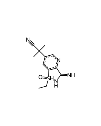 CC[SH]1(=O)NC(=N)c2ncc(C(C)(C)C#N)cc21